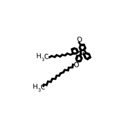 CCCCCCCCCCCCCCCCOc1ccc([Si]2(c3cccc(CCCCCCCCCC)c3)c3ccccc3-c3ccc(C=O)cc32)cc1